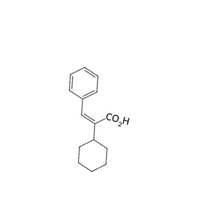 O=C(O)/C(=C\c1ccccc1)C1CCCCC1